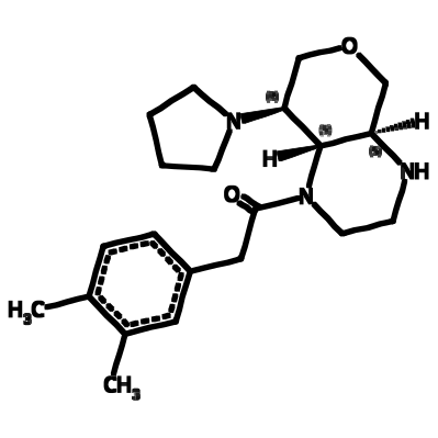 Cc1ccc(CC(=O)N2CCN[C@@H]3COC[C@H](N4CCCC4)[C@H]32)cc1C